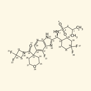 CC(C)CS(=O)(=O)N[C@H](c1nc2c(F)c(C3(C(=O)N4CC(F)(F)C4)CCOCC3)ccc2[nH]1)C1CCC(F)(F)CC1